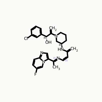 C=C(/C=C\N=C(/C)c1cnc2ccc(F)cn12)N[C@@H]1CCCN(C(=C)[C@H](O)c2cccc(Cl)c2)C1